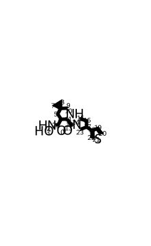 O=C(NO)C1CC2(CC2)CNC1C(=O)N1CCC(c2ccsc2)C1